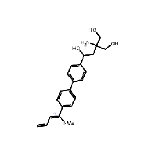 C=C/C=C(\NC)c1ccc(-c2ccc(C(O)CC(N)(CO)CO)cc2)cc1